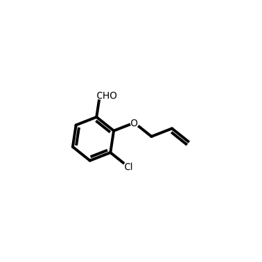 C=CCOc1c(Cl)cccc1C=O